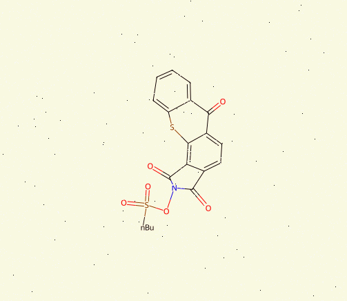 CCCCS(=O)(=O)ON1C(=O)c2ccc3c(=O)c4ccccc4sc3c2C1=O